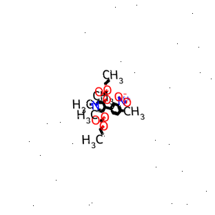 CCCOC(=O)OC1=C(C)N(C)C(C)=C(OC(=O)OCCC)C1c1ccc(C)c([N+](=O)[O-])c1